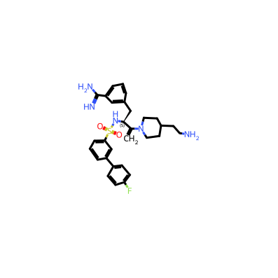 C=C([C@H](Cc1cccc(C(=N)N)c1)NS(=O)(=O)c1cccc(-c2ccc(F)cc2)c1)N1CCC(CCN)CC1